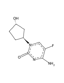 Nc1nc(=O)n([C@H]2CC[C@H](O)C2)cc1F